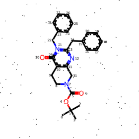 CC(C)(C)OC(=O)N1CCc2c(nc(Cc3ccccc3)n(Cc3ccccc3)c2=O)C1